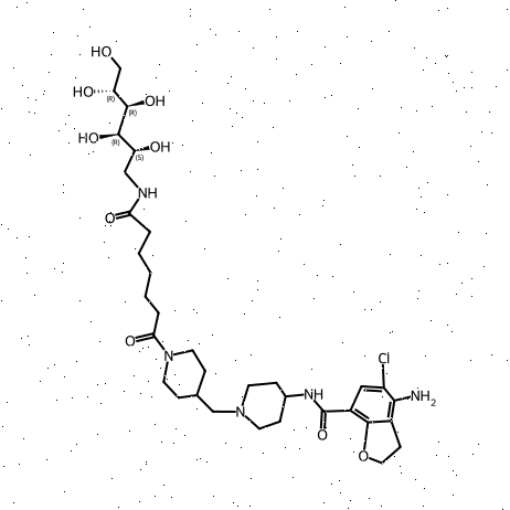 Nc1c(Cl)cc(C(=O)NC2CCN(CC3CCN(C(=O)CCCCCC(=O)NC[C@H](O)[C@@H](O)[C@H](O)[C@H](O)CO)CC3)CC2)c2c1CCO2